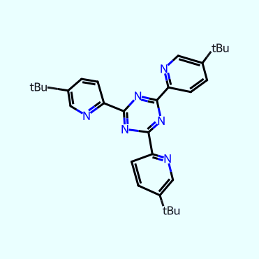 CC(C)(C)c1ccc(-c2nc(-c3ccc(C(C)(C)C)cn3)nc(-c3ccc(C(C)(C)C)cn3)n2)nc1